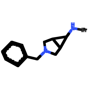 CC(C)NC1C2CN(Cc3ccccc3)CC21